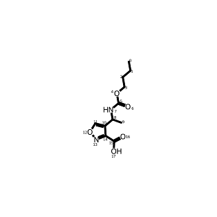 CCCCOC(=O)NC(C)c1conc1C(=O)O